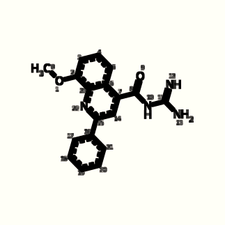 COc1cccc2c(C(=O)NC(=N)N)cc(-c3ccccc3)nc12